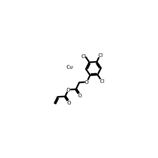 C=CC(=O)OC(=O)COc1cc(Cl)c(Cl)cc1Cl.[Cu]